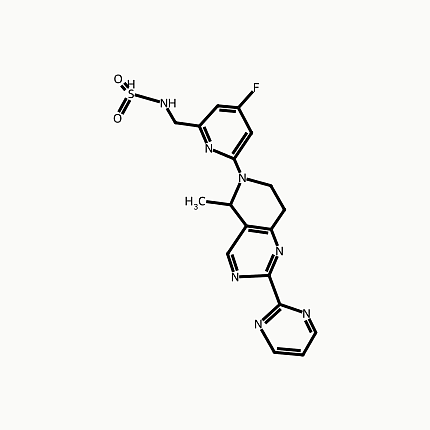 CC1c2cnc(-c3ncccn3)nc2CCN1c1cc(F)cc(CN[SH](=O)=O)n1